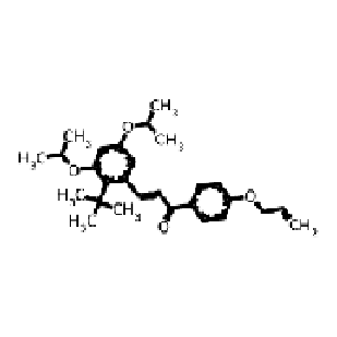 C=CCOc1ccc(C(=O)C=Cc2cc(OC(C)C)cc(OC(C)C)c2C(C)(C)C)cc1